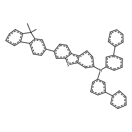 CC1(C)c2ccccc2-c2ccc(-c3ccc4c(c3)sc3cc(N(c5cccc(-c6ccccc6)c5)c5cccc(-c6ccccc6)c5)ccc34)cc21